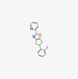 Ic1ccccc1C1Cc2nc(-c3ccccn3)oc2C1